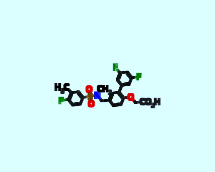 Cc1cc(S(=O)(=O)N(C)Cc2ccc(OCC(=O)O)c(-c3cc(F)cc(F)c3)c2)ccc1F